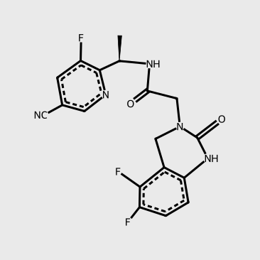 C[C@@H](NC(=O)CN1Cc2c(ccc(F)c2F)NC1=O)c1ncc(C#N)cc1F